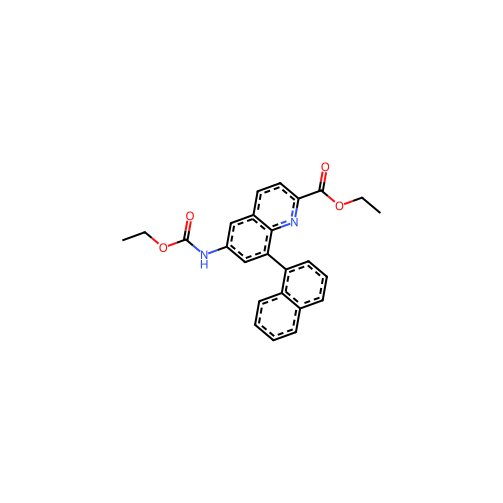 CCOC(=O)Nc1cc(-c2cccc3ccccc23)c2nc(C(=O)OCC)ccc2c1